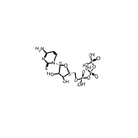 Nc1ccn([C@@H]2O[C@H](COP(=O)(O)OP(=O)(O)OP(=O)(O)O)C(O)C2O)c(=S)n1